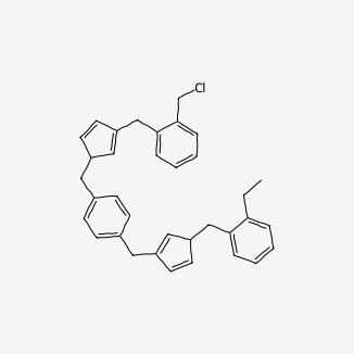 CCc1ccccc1CC1C=CC(Cc2ccc(CC3C=CC(Cc4ccccc4CCl)=C3)cc2)=C1